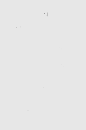 NC(=O)c1cc(OCC(F)(F)F)[nH]n1